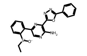 CC[S+]([O-])c1ccccc1-c1cnc(N)c(-c2nnc(-c3ccccc3)o2)n1